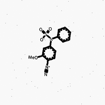 COc1cc(N(c2ccccc2)S(=O)(=O)[O-])ccc1[N+]#N